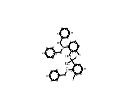 CCC(C)(Pc1c(C)cccc1N(Cc1ccccc1)Cc1ccccc1)c1cccc(C)c1OCc1ccccc1